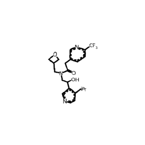 CC(C)c1ccncc1C(O)CN(CC1COC1)C(=O)Cc1ccc(C(F)(F)F)nc1